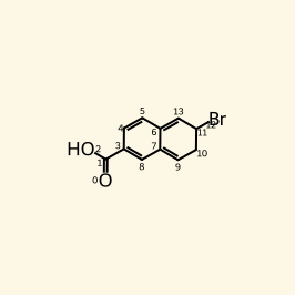 O=C(O)c1ccc2c(c1)=CCC(Br)C=2